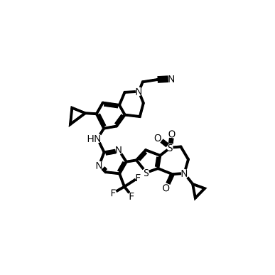 N#CCN1CCc2cc(Nc3ncc(C(F)(F)F)c(-c4cc5c(s4)C(=O)N(C4CC4)CCS5(=O)=O)n3)c(C3CC3)cc2C1